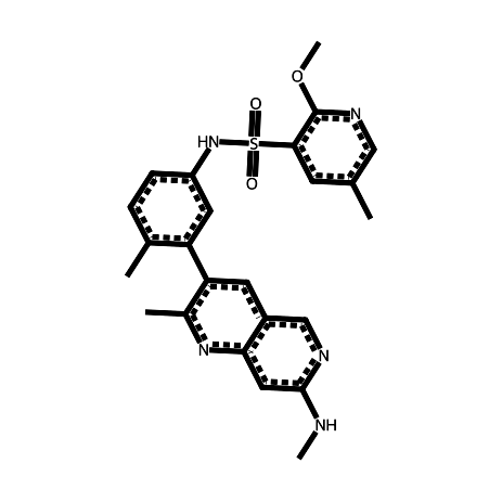 CNc1cc2nc(C)c(-c3cc(NS(=O)(=O)c4cc(C)cnc4OC)ccc3C)cc2cn1